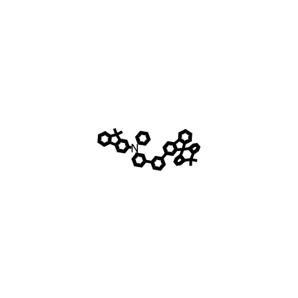 CC1(C)c2ccccc2-c2ccc(N(c3ccccc3)c3cccc(-c4cccc(-c5ccc6c(c5)C5(c7ccccc7-6)c6ccccc6C(C)(C)c6ccccc65)c4)c3)cc21